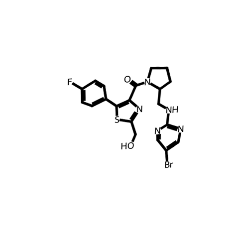 O=C(c1nc(CO)sc1-c1ccc(F)cc1)N1CCCC1CNc1ncc(Br)cn1